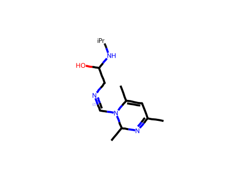 CC1=CC(C)=NC(C)N1/C=N\CC(O)NC(C)C